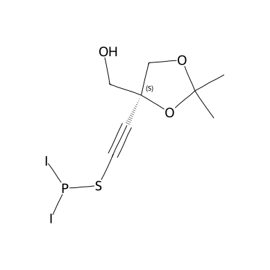 CC1(C)OC[C@](C#CSP(I)I)(CO)O1